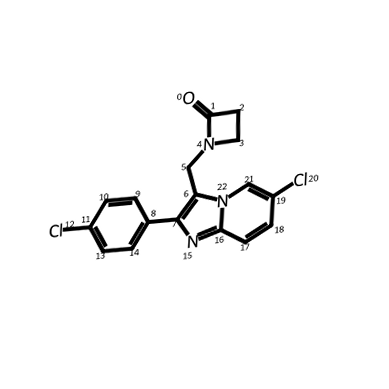 O=C1CCN1Cc1c(-c2ccc(Cl)cc2)nc2ccc(Cl)cn12